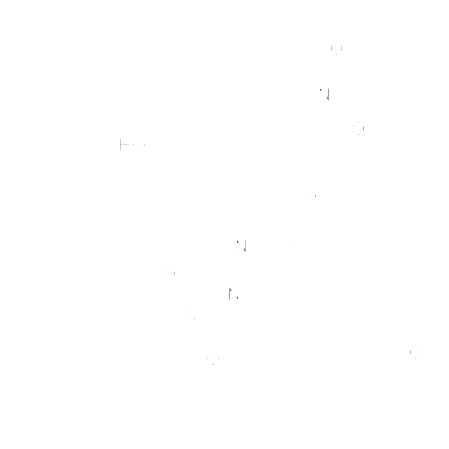 COc1ccc2c(c1)c(=O)n(Cc1cc([N+](=O)[O-])ccc1O)n2S(=O)(=O)c1ccc(C)cc1